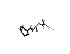 CC(Br)=CCOCc1ccccc1